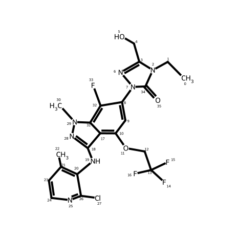 CCn1c(CO)nn(-c2cc(OCC(F)(F)F)c3c(Nc4c(C)ccnc4Cl)nn(C)c3c2F)c1=O